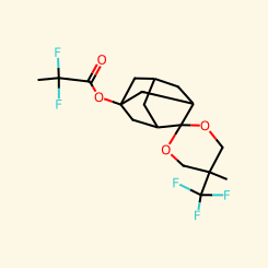 CC(F)(F)C(=O)OC12CC3CC(C1)C1(OCC(C)(C(F)(F)F)CO1)C(C3)C2